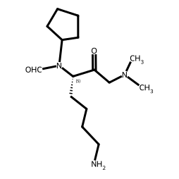 CN(C)CC(=O)[C@H](CCCCN)N(C=O)C1CCCC1